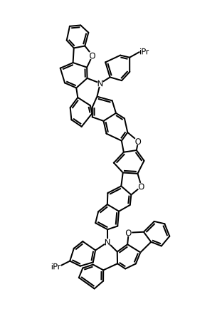 CC(C)c1ccc(N(c2ccc3cc4c(cc3c2)oc2cc3oc5cc6cc(N(c7ccc(C(C)C)cc7)c7c(-c8ccccc8)ccc8c7oc7ccccc78)ccc6cc5c3cc24)c2c(-c3ccccc3)ccc3c2oc2ccccc23)cc1